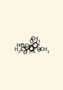 COC1CCC(OC)c2cc(C(=O)C(C)(C)O)ccc21